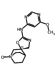 COc1cc(NC2=NC[C@@]3(C[N+]4([O-])CCC3CC4)O2)ncn1